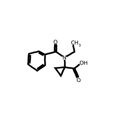 CCN(C(=O)c1ccccc1)C1(C(=O)O)CC1